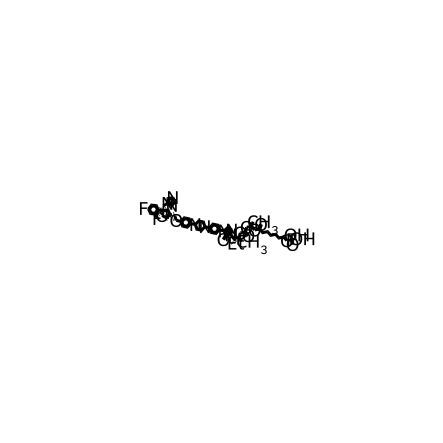 CC[C@@H](C(C)OC(=O)OC(C)OC(=O)CCCCCCOP(=O)(O)O)n1ncn(-c2ccc(N3CCN(c4ccc(OC[C@@H]5CO[C@@](Cn6cncn6)(c6ccc(F)cc6F)C5)cc4)CC3)cc2)c1=O